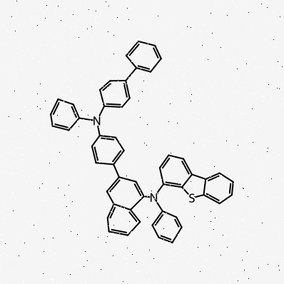 c1ccc(-c2ccc(N(c3ccccc3)c3ccc(-c4cc(N(c5ccccc5)c5cccc6c5sc5ccccc56)c5ccccc5c4)cc3)cc2)cc1